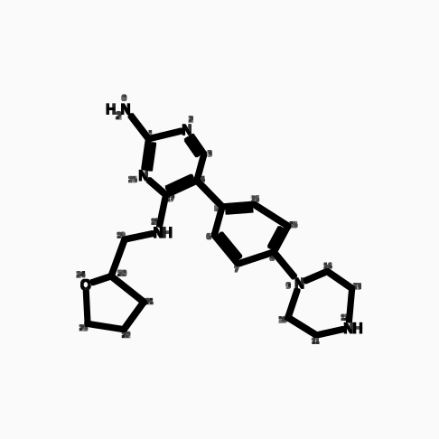 Nc1ncc(-c2ccc(N3CCNCC3)cc2)c(NCC2CCCO2)n1